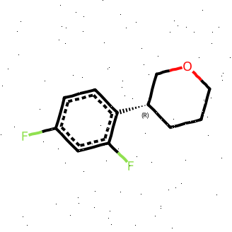 Fc1ccc([C@H]2CCCOC2)c(F)c1